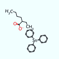 CCCCC(CC)C(=O)[O-].c1cc[c]([Sn+]([c]2ccccc2)[c]2ccccc2)cc1